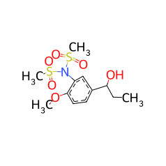 CCC(O)c1ccc(OC)c(N(S(C)(=O)=O)S(C)(=O)=O)c1